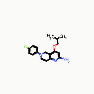 CC(C)COc1cc(N)nc2c1CN(c1ccc(F)cc1)C=C2